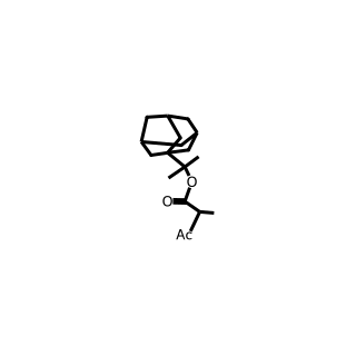 CC(=O)C(C)C(=O)OC(C)(C)C12CC3CC(CC(C3)C1)C2